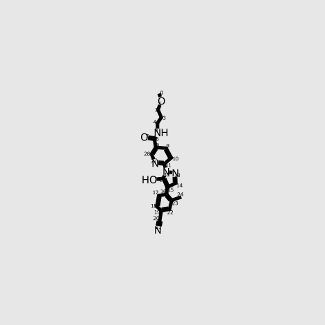 COCCCNC(=O)c1ccc(-n2ncc(-c3ccc(C#N)cc3C)c2O)nc1